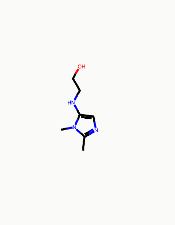 Cc1ncc(NCCO)n1C